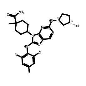 CC1(C(N)=O)CCC(n2c(Nc3c(F)cc(F)cc3Cl)nc3cnc(N[C@H]4CC[C@H](O)C4)nc32)CC1